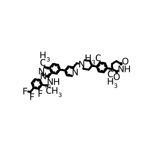 Cc1cc([C@@]2(C)CCC(=O)NC2=O)ccc1C1CCN(Cc2cc(-c3ccc4c(C)nnc(N[C@H](C)c5cccc(C(F)F)c5F)c4c3)ccn2)CC1